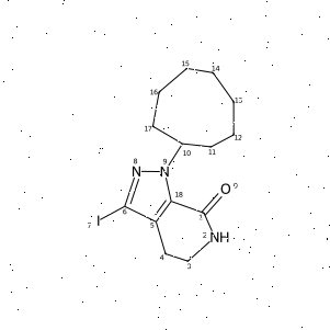 O=C1NCCc2c(I)nn(C3CCCCCCC3)c21